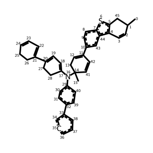 CC1C=Cc2c(sc3ccc(C4=CCC(C)(N(C5=CC=C(C6=CC=CCC6)CC5)c5ccc(-c6ccccc6)cc5)C=C4)cc23)C1